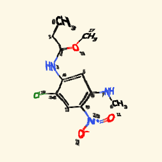 CCC(Nc1cc(NC)c([N+](=O)[O-])cc1Cl)OC